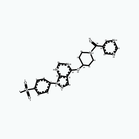 CS(=O)(=O)c1ccc(-n2ncc3c(OC4CCN(C(=O)c5cncnc5)CC4)ncnc32)cc1